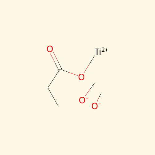 CCC(=O)[O][Ti+2].C[O-].C[O-]